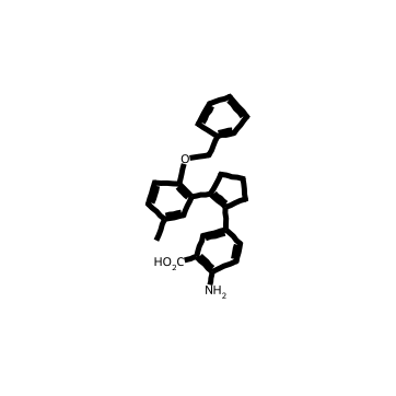 Cc1ccc(OCc2ccccc2)c(C2=C(c3ccc(N)c(C(=O)O)c3)CCC2)c1